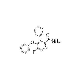 NC(=O)c1ncc(F)c(Oc2ccccc2)c1-c1ccccc1